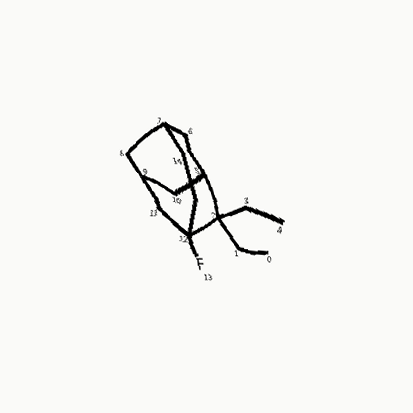 CCC1(CC)C2CC3CC(C2)CC1(F)C3